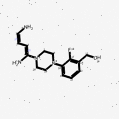 N/C=C\C=C(/N)N1CCN(c2cccc(CO)c2F)CC1